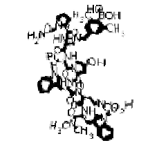 Cc1cc(CNC[C@H](NC(=O)[C@@H]2CCCN2CON)C(=O)N[C@@H](CC(C)C)C(=O)N2C[C@H](O)C[C@H]2C(=O)N[C@@H](Cc2c[nH]c3ccccc23)C(=O)N[C@@H](CCN)C(=O)N[C@@H](Cc2cn(CC(=O)O)c3ccccc23)C(=O)N(C)C)cc(C)c1B(O)O